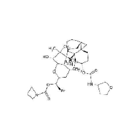 CC(C)[C@@H](OC(=O)N1CCC1)C1C[C@@H](C)[C@H]2C(O1)[C@H](O)C(C)(C)[C@]2(C)CC[C@]12CCC[C@H]3C(C)(C)[C@@H](OC(=O)N[C@H]4CCOC4)CC[C@@]31C2